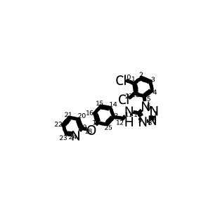 Clc1cccc(-n2nnnc2NCc2cccc(Oc3ccccn3)c2)c1Cl